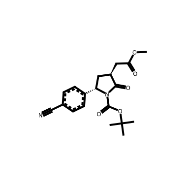 COC(=O)C[C@@H]1C[C@@H](c2ccc(C#N)cc2)N(C(=O)OC(C)(C)C)C1=O